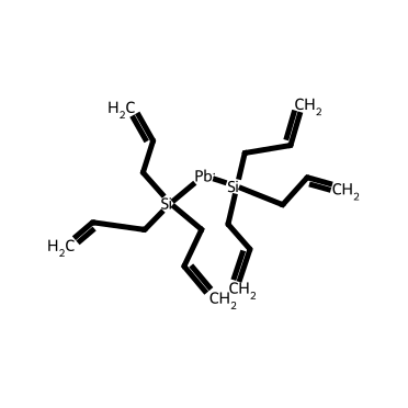 C=CC[Si](CC=C)(CC=C)[Pb][Si](CC=C)(CC=C)CC=C